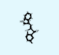 Cc1ccc2c(c1)C(=O)C(=Cc1c[nH]c3ccccc13)S2